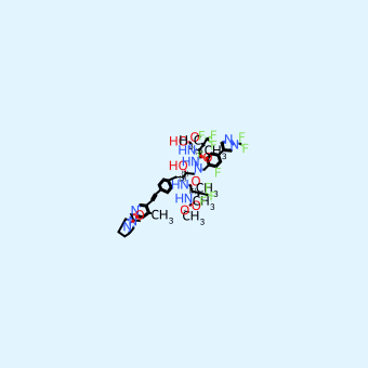 COC(=O)N[C@H](C(=O)N[C@@H](Cc1ccc(C#Cc2cnc(N3CC4CCC(C3)N4C3COC3)cc2C)cc1)[C@@H](O)CN(Cc1c(F)cc(-c2cnn(C(F)F)c2)cc1F)NC(=O)[C@@H](NC(=O)O)C(C)(C)C(F)(F)F)C(C)(C)C(F)(F)F